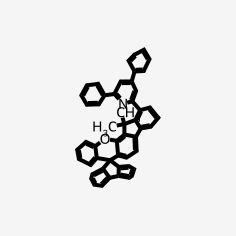 CC1(C)c2c(-c3cc(-c4ccccc4)cc(-c4ccccc4)n3)cccc2-c2ccc3c(c21)Oc1ccccc1C31c2ccccc2-c2ccccc21